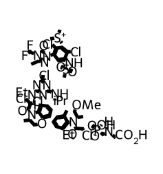 CC1COc2ccccc2N1C(=O)C(Cl)Cl.CCNc1nc(Cl)nc(NC(C)C)n1.CCc1cccc(C)c1N(C(=O)CCl)C(C)COC.C[S+](C)C.Cc1nn(-c2cc(NS(C)(=O)=O)c(Cl)cc2Cl)c(=O)n1C(F)F.O=C(O)CNCP(=O)([O-])O